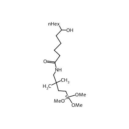 CCCCCCC(O)CCCCC(=O)NCC(C)(C)CC[Si](OC)(OC)OC